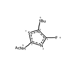 CC(=O)Nc1nc(F)c(C(C)(C)C)s1